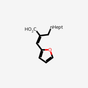 CCCCCCCCC(=Cc1ccco1)C(=O)O